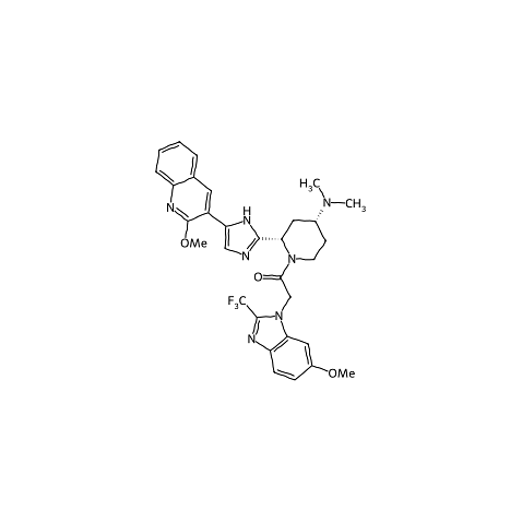 COc1ccc2nc(C(F)(F)F)n(CC(=O)N3CC[C@@H](N(C)C)C[C@H]3c3ncc(-c4cc5ccccc5nc4OC)[nH]3)c2c1